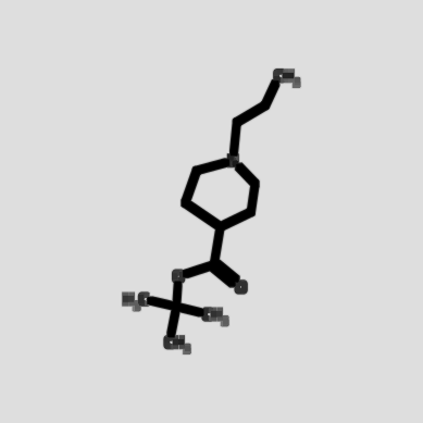 CCCN1CCC(C(=O)OC(C)(C)C)CC1